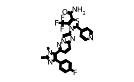 Cc1nc(-c2ccc(F)cc2)c(-c2ccc3nc(N4C(C(F)(F)F)=C(C(N)=O)SC4c4ccncc4)cn3n2)n1C